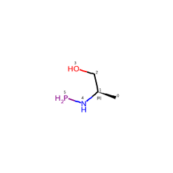 C[C@H](CO)NP